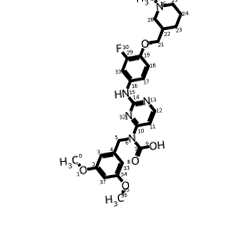 COc1cc(CN(C(=O)O)c2ccnc(Nc3ccc(OCC4CCCN(C)C4)c(F)c3)n2)cc(OC)c1